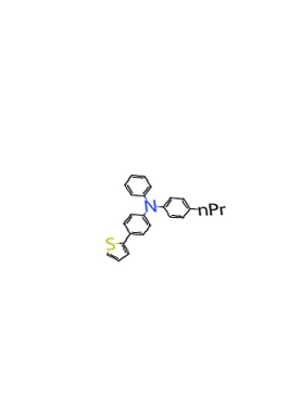 CCCc1ccc(N(c2ccccc2)c2ccc(-c3cccs3)cc2)cc1